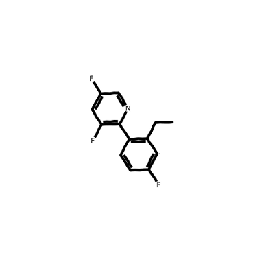 CCc1[c]c(F)ccc1-c1ncc(F)cc1F